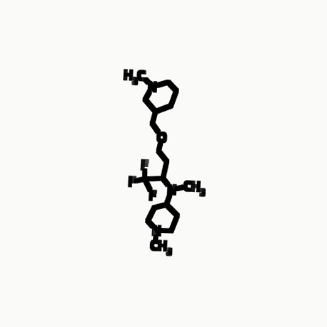 CN1CCC(N(C)C(CCOCC2CCCN(C)C2)C(F)(F)F)CC1